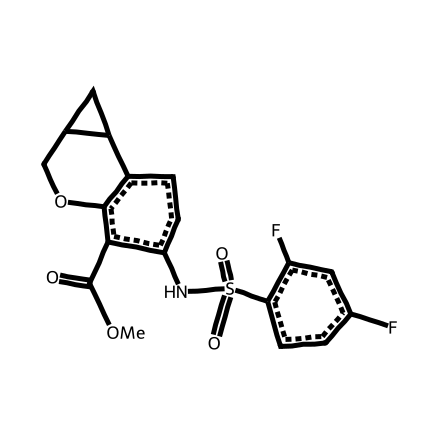 COC(=O)c1c(NS(=O)(=O)c2ccc(F)cc2F)ccc2c1OCC1CC21